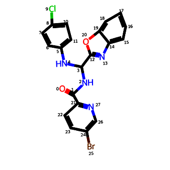 O=C(NC(Nc1ccc(Cl)cc1)c1nc2ccccc2o1)c1ccc(Br)cn1